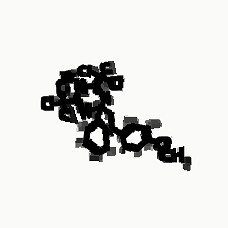 COc1ccc(C=CC2(c3ccccc3)N=C(C(Cl)(Cl)Cl)N(Br)C(C(Cl)(Cl)Cl)=N2)cc1